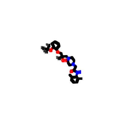 [2H]C(O)(COc1ccccc1OC([2H])([2H])[2H])CN1CCN(CC(=O)Nc2c(C)cccc2C)CC1